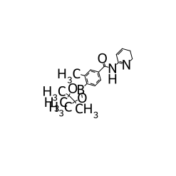 Cc1cc(C(=O)NC2=NCCC=C2)ccc1B1OC(C)(C)C(C)(C)O1